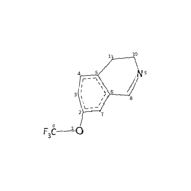 FC(F)(F)Oc1ccc2c(c1)C=NCC2